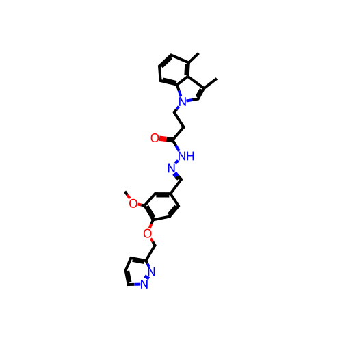 COc1cc(C=NNC(=O)CCn2cc(C)c3c(C)cccc32)ccc1OCc1cccnn1